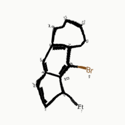 CCC1C=Cc2cc3c(c(Br)c21)CCCC3